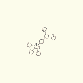 c1ccc(-c2nc(-c3ccc(-c4cc(-c5ccccn5)cc(-c5ccccn5)c4)cc3)nc(-c3ccccc3)c2-c2ccccc2)cc1